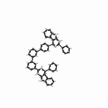 c1ccc(-c2nc(-c3ccc(-c4cccc(-c5cccc(-c6nc(-c7ccccc7)c7c(n6)sc6ccccc67)c5)c4)cc3)c3c(n2)sc2ccccc23)cc1